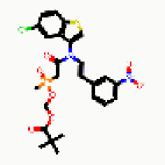 CC(C)(C)C(=O)OCOP(C)(=O)CC(=O)N(/C=C/c1cccc([N+](=O)[O-])c1)c1csc2ccc(Cl)cc12